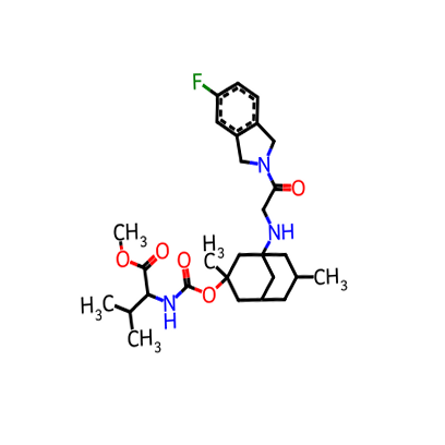 COC(=O)C(NC(=O)OC1(C)CC2CC(C)CC(NCC(=O)N3Cc4ccc(F)cc4C3)(C2)C1)C(C)C